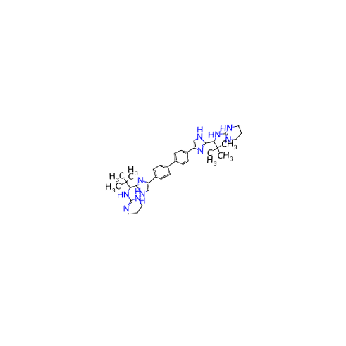 CC(C)(C)C(NC1=NCCCN1)c1nc(-c2ccc(-c3ccc(-c4c[nH]c(C(NC5=NCCCN5)C(C)(C)C)n4)cc3)cc2)c[nH]1